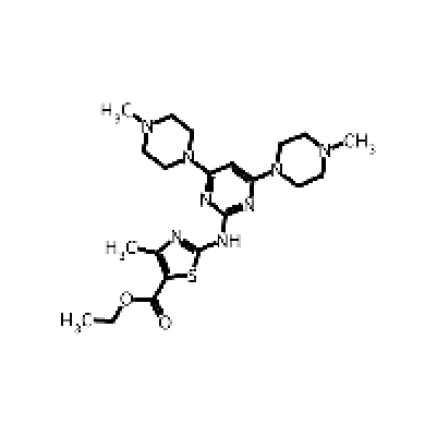 CCOC(=O)c1sc(Nc2nc(N3CCN(C)CC3)cc(N3CCN(C)CC3)n2)nc1C